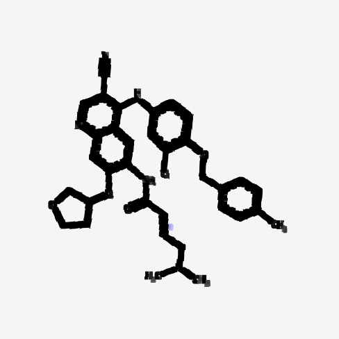 Cc1ccc(COc2ccc(Nc3c(C#N)cnc4cc(OC5CCOC5)c(NC(=O)/C=C/CN(C)C)cc34)cc2Cl)cc1